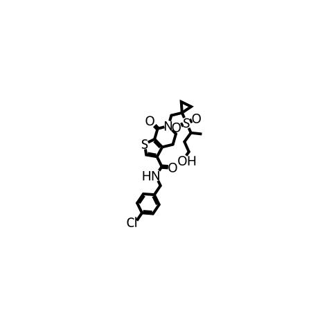 CC(CCO)S(=O)(=O)C1(CN2CCc3c(C(=O)NCc4ccc(Cl)cc4)csc3C2=O)CC1